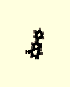 c1ccc(-c2cc3[nH]cncc-3n2)cc1